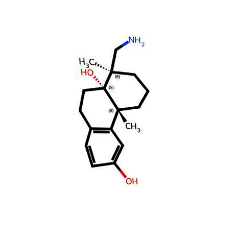 C[C@]1(CN)CCC[C@]2(C)c3cc(O)ccc3CC[C@@]12O